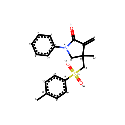 C=C1C(=O)N(c2ccccc2)CC1(C)CS(=O)(=O)c1ccc(C)cc1